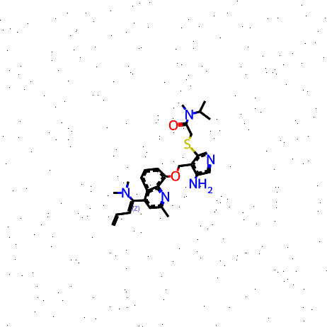 C=C/C=C(/c1cc(C)nc2c(OCc3c(N)cncc3SCC(=O)N(C)C(C)C)cccc12)N(C)C